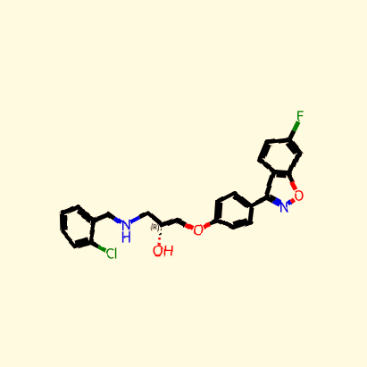 O[C@H](CNCc1ccccc1Cl)COc1ccc(-c2noc3cc(F)ccc23)cc1